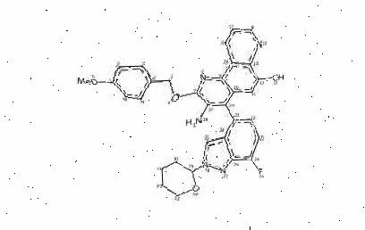 COc1ccc(COc2nc3c(cc(O)c4ncccc43)c(-c3ccc(F)c4nn(C5CCCCO5)cc34)c2N)cc1